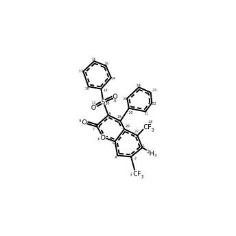 [2H]c1c(C(F)(F)F)cc2oc(=O)c(S(=O)(=O)c3ccccc3)c(-c3ccccc3)c2c1C(F)(F)F